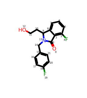 O=C1c2c(F)cccc2C(CCO)N1Cc1ccc(F)cc1